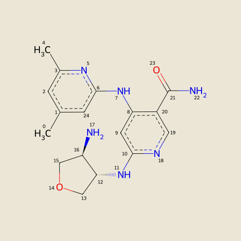 Cc1cc(C)nc(Nc2cc(N[C@@H]3COC[C@H]3N)ncc2C(N)=O)c1